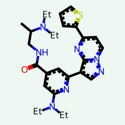 CCN(CC)c1cc(C(=O)NCC(C)N(CC)CC)cc(-c2cnn3ccc(-c4cccs4)nc23)n1